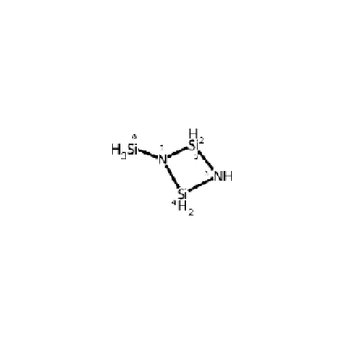 [SiH3]N1[SiH2]N[SiH2]1